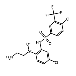 NCC[S+]([O-])c1ccc(Cl)cc1NS(=O)(=O)c1ccc(Cl)c(C(F)(F)F)c1